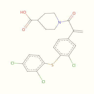 C=C(C(=O)N1CCC(C(=O)O)CC1)c1ccc(Sc2ccc(Cl)cc2Cl)c(Cl)c1